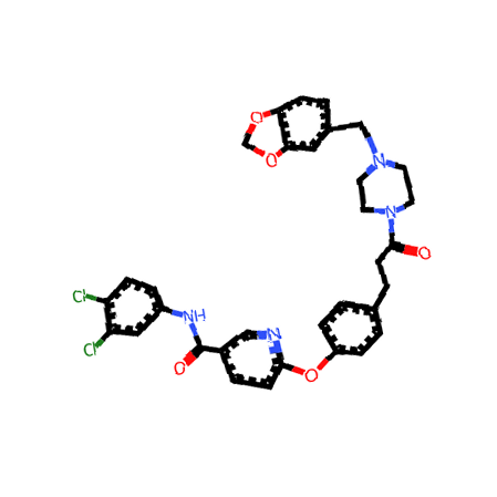 O=C(Nc1ccc(Cl)c(Cl)c1)c1ccc(Oc2ccc(CCC(=O)N3CCN(Cc4ccc5c(c4)OCO5)CC3)cc2)nc1